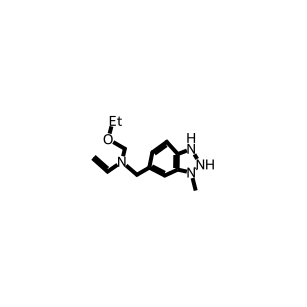 C=CN(COCC)Cc1ccc2c(c1)N(C)NN2